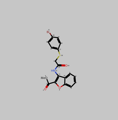 COC(=O)c1oc2ccccc2c1NC(=O)CSc1ccc(Br)cc1